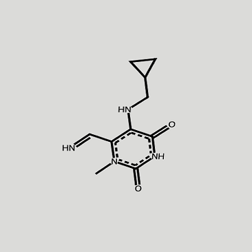 Cn1c(C=N)c(NCC2CC2)c(=O)[nH]c1=O